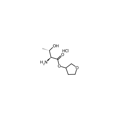 C[C@H](O)[C@H](N)C(=O)OC1CCOC1.Cl